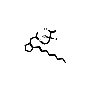 CCCCCC/C=C/C1=C(CC(C)=C=CCC(O)(O)C(=O)O)CCC1